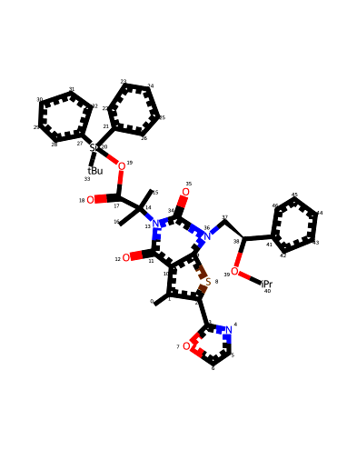 Cc1c(-c2ncco2)sc2c1c(=O)n(C(C)(C)C(=O)O[Si](c1ccccc1)(c1ccccc1)C(C)(C)C)c(=O)n2C[C@H](OC(C)C)c1ccccc1